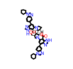 O=C(O)c1c(N2CC[C@H](COC(=O)c3c(N4CC[C@H](CO)C4)cc(-c4ccc5c(c4)ncn5C4CCCCC4)c4nc[nH]c34)C2)cc(-c2ccc3c(c2)ncn3C2CCCCC2)c2nc[nH]c12